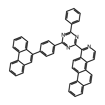 c1ccc(-c2nc(-c3ccc(-c4cc5ccccc5c5ccccc45)cc3)nc(-c3nccc4c3ccc3c5ccccc5ccc43)n2)cc1